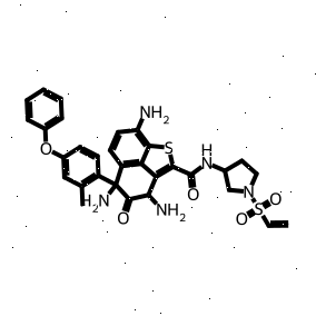 C=CS(=O)(=O)N1CCC(NC(=O)c2sc3c(N)ccc4c3c2C(N)C(=O)C4(N)c2ccc(Oc3ccccc3)cc2C)C1